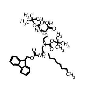 CCCCCCCC[C@@H](CN(CC[C@H](NC(=O)OC(C)(C)C)C(=O)O)C(=O)OC(C)(C)C)NC(=O)OCC1c2ccccc2-c2ccccc21